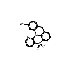 CC(C)c1ccc2c(c1)N1c3ncccc3S(=O)(=O)c3cccc(c31)C2